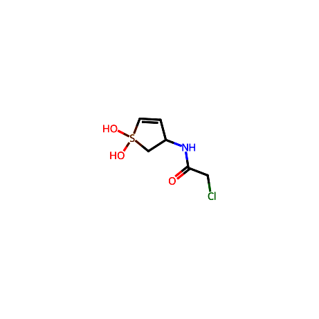 O=C(CCl)NC1C=CS(O)(O)C1